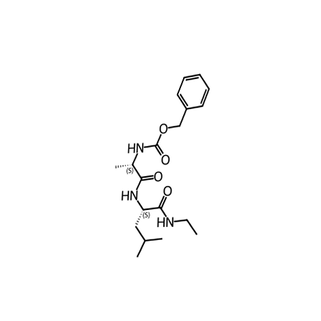 CCNC(=O)[C@H](CC(C)C)NC(=O)[C@H](C)NC(=O)OCc1ccccc1